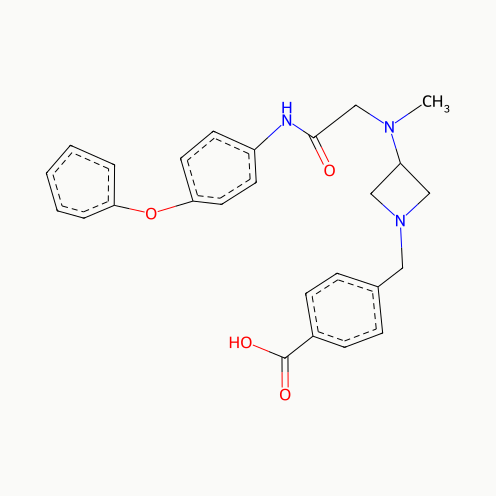 CN(CC(=O)Nc1ccc(Oc2ccccc2)cc1)C1CN(Cc2ccc(C(=O)O)cc2)C1